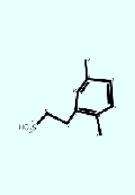 Cc1ccc(C)c(CCS(=O)(=O)O)c1